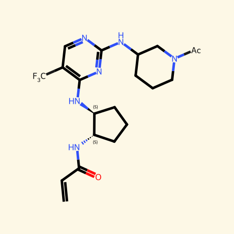 C=CC(=O)N[C@H]1CCC[C@@H]1Nc1nc(NC2CCCN(C(C)=O)C2)ncc1C(F)(F)F